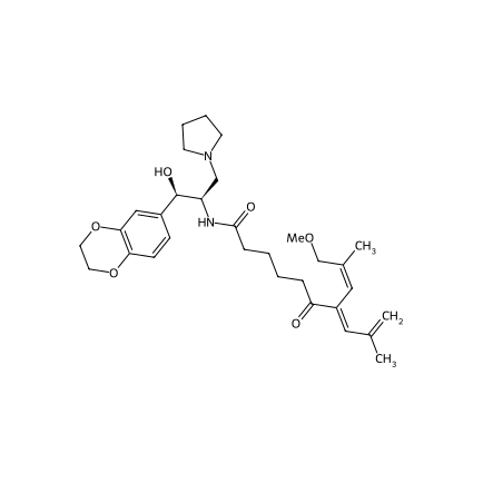 C=C(C)/C=C(\C=C(\C)COC)C(=O)CCCCC(=O)N[C@H](CN1CCCC1)[C@H](O)c1ccc2c(c1)OCCO2